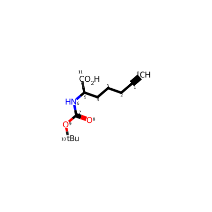 C#CCCCC(NC(=O)OC(C)(C)C)C(=O)O